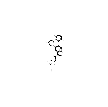 CC(C)(C)S(=O)(=O)CC(=O)c1cnn2ccc(N3C[C@H](F)C[C@@H]3c3cc(F)ccc3F)cc12